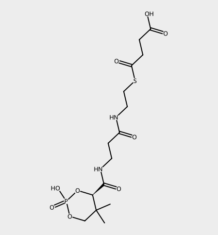 CC1(C)COP(=O)(O)O[C@H]1C(=O)NCCC(=O)NCCSC(=O)CCC(=O)O